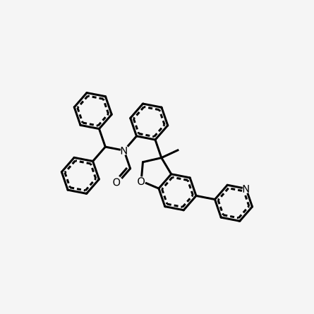 CC1(c2ccccc2N(C=O)C(c2ccccc2)c2ccccc2)COc2ccc(-c3cccnc3)cc21